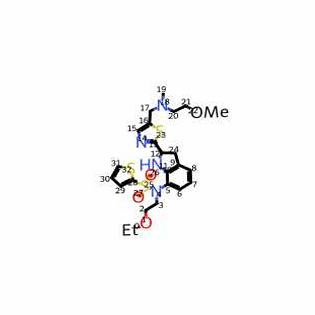 CCOCCN(c1cccc2c1NC(c1ncc(CN(C)CCOC)s1)C2)S(=O)(=O)c1cccs1